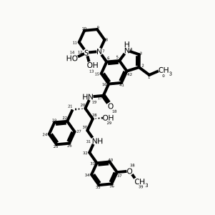 CCc1c[nH]c2c(N3CCCCS3(O)O)cc(C(=O)N[C@@H](Cc3ccccc3)[C@H](O)CNCc3cccc(OC)c3)cc12